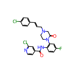 O=C(Nc1ccc(F)cc1N1CCN(CC=Cc2ccc(Cl)cc2)CC1=O)c1ccnc(Cl)c1